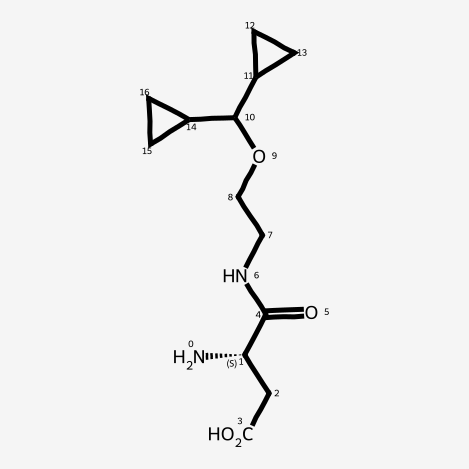 N[C@@H](CC(=O)O)C(=O)NCCOC(C1CC1)C1CC1